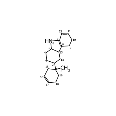 CC1([C@H]2CCC3NC4=C(CCC=C4)C3C2)CC=CCC1